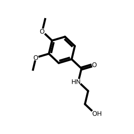 COc1ccc(C(=O)NCCO)cc1OC